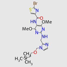 COc1nc(NCc2nccn2COCC[Si](C)(C)C)nc(OC)c1NC(=O)c1csc(Br)n1